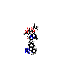 CCCC(C(C(=O)O)C(=O)OC(C)CC)C1CCC(C)n2cc(Cc3ccc(-c4ccccc4-c4nnn[nH]4)cc3)c(=O)n21